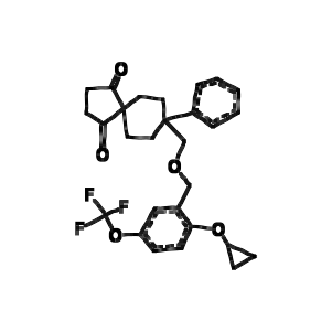 O=C1CCC(=O)C12CCC(COCc1cc(OC(F)(F)F)ccc1OC1CC1)(c1ccccc1)CC2